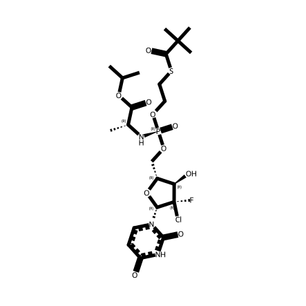 CC(C)OC(=O)[C@@H](C)N[P@](=O)(OCCSC(=O)C(C)(C)C)OC[C@H]1O[C@@H](n2ccc(=O)[nH]c2=O)[C@](F)(Cl)[C@@H]1O